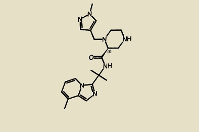 Cc1cccn2c(C(C)(C)NC(=O)[C@@H]3CNCCN3Cc3cnn(C)c3)ncc12